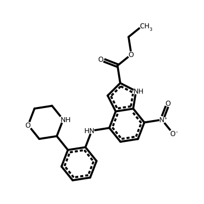 CCOC(=O)c1cc2c(Nc3ccccc3C3COCCN3)ccc([N+](=O)[O-])c2[nH]1